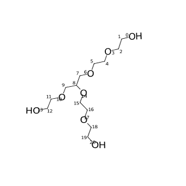 OCCOCCOCC(COCCO)OCCOCCO